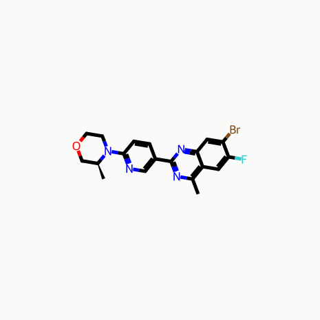 Cc1nc(-c2ccc(N3CCOC[C@@H]3C)nc2)nc2cc(Br)c(F)cc12